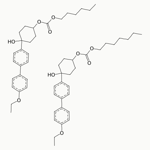 CCCCCCCOC(=O)OC1CCC(O)(c2ccc(-c3ccc(OCC)cc3)cc2)CC1.CCCCCCOC(=O)OC1CCC(O)(c2ccc(-c3ccc(OCC)cc3)cc2)CC1